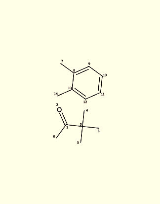 CC(=O)C(C)(C)C.Cc1ccccc1C